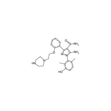 Cc1ccc(O)c(C)c1-n1nc(-c2ccccc2OCCN2CCNCC2)c(C(N)=O)c1N